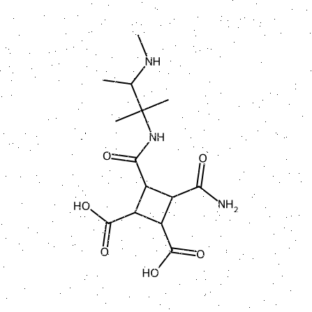 CNC(C)C(C)(C)NC(=O)C1C(C(N)=O)C(C(=O)O)C1C(=O)O